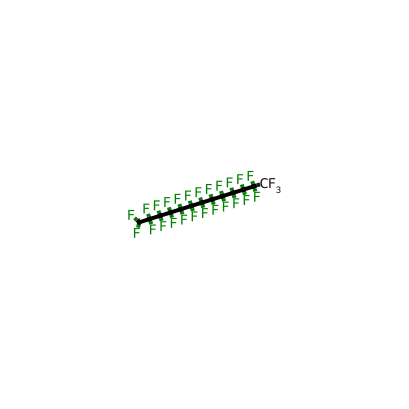 F[C](F)C(F)(F)C(F)(F)C(F)(F)C(F)(F)C(F)(F)C(F)(F)C(F)(F)C(F)(F)C(F)(F)C(F)(F)C(F)(F)C(F)(F)F